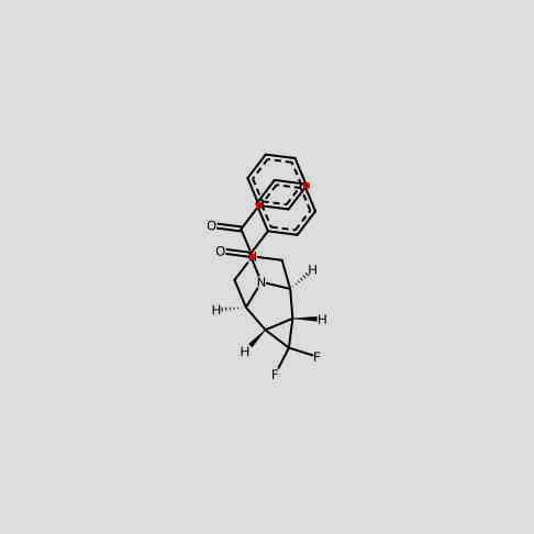 O=C(c1ccccc1)N1C[C@@H]2[C@@H]3[C@H]([C@H](C1)N2C(=O)c1ccccc1)C3(F)F